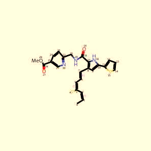 C\C=C/C(F)=C\C=C\c1cc(-c2cccs2)[nH]c1C(=O)NCc1ccc(C(=O)OC)cn1